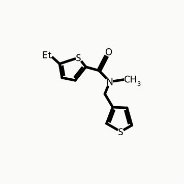 CCc1ccc(C(=O)N(C)Cc2ccsc2)s1